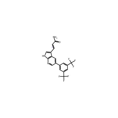 NC(=O)/C=C/c1c[nH]c2ncc(-c3cc(C(F)(F)F)cc(C(F)(F)F)c3)cc12